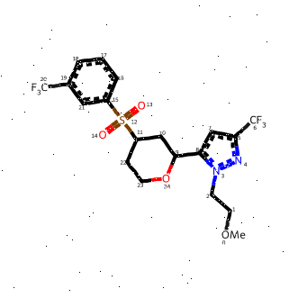 COCCn1nc(C(F)(F)F)cc1C1CC(S(=O)(=O)c2cccc(C(F)(F)F)c2)CCO1